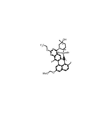 COCOc1cc(-c2c([N+](=O)[O-])cc3c(N4CCC[C@@](C)(O)C4)nc(OCC(F)(F)F)nc3c2F)c2c(C#C[Si](C(C)C)(C(C)C)C(C)C)c(F)ccc2c1